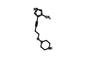 Cc1c[nH]cc1C#CCCON1CCNCC1